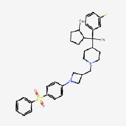 CC(=O)OC1CCCC1C(C#N)(c1cccc(F)c1)C1CCN(CC2CN(c3ccc(S(=O)(=O)c4ccccc4)cc3)C2)CC1